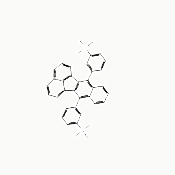 C[Si](C)(C)c1cccc(-c2c3c(c(-c4cccc([Si](C)(C)C)c4)c4ccccc24)-c2cccc4cccc-3c24)c1